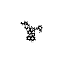 C=Cc1cnc2n1CCN(c1nc(OC[C@@H]3CCCN3C)nc3c1CCN(c1cccc4cccc(Cl)c14)C3)C2